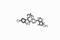 C[C@@H]1C[C@@](C)(O)c2ncnc(N3CCN(C(=O)[C@@H](c4ccc(Cl)cc4F)[C@@H]4CCC(C)(C)N4)CC3)c21